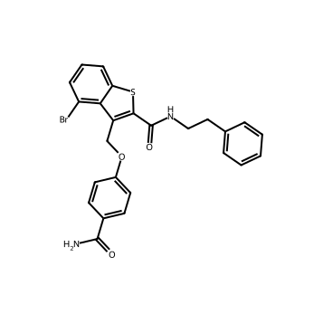 NC(=O)c1ccc(OCc2c(C(=O)NCCc3ccccc3)sc3cccc(Br)c23)cc1